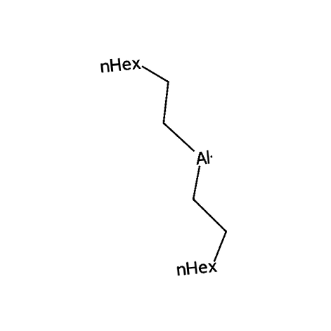 CCCCCCC[CH2][Al][CH2]CCCCCCC